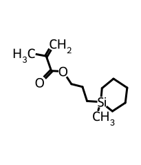 C=C(C)C(=O)OCCC[Si]1(C)CCCCC1